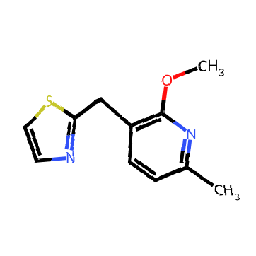 COc1nc(C)ccc1Cc1nccs1